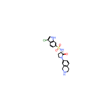 O=C1[C@@H](NS(=O)(=O)c2ccc3c(Cl)c[nH]c3c2)CCN1c1ccc2c(c1)CNCC2